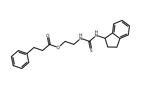 O=C(CCc1ccccc1)OCCNC(=S)NC1CCc2ccccc21